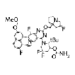 C#Cc1c(F)ccc2cc(OCOC)cc(-c3ncc4c(N5CC(F)(F)CC(OC(N)=O)C5C(C)(C)C)nc(OC[C@@]56CCCN5C[C@H](F)C6)nc4c3F)c12